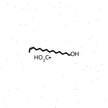 C/C=C\CCCCCCCCCCCO.CC(=O)O